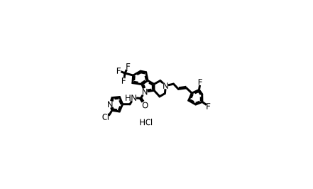 Cl.O=C(NCc1ccnc(Cl)c1)n1c2c(c3ccc(C(F)(F)F)cc31)CN(C/C=C/c1ccc(F)cc1F)CC2